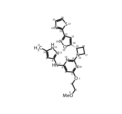 COCCOc1cc(Nc2cc(C)[nH]n2)nc(N2CC[C@H]2c2cc(-c3nccs3)no2)n1